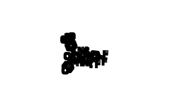 Cc1nc(N[C@H](C)c2cccc(C(F)F)c2F)c2c(n1)C(c1ccc(S(C)(=O)=O)cc1)C(=O)N(N1CCOCC1)C2